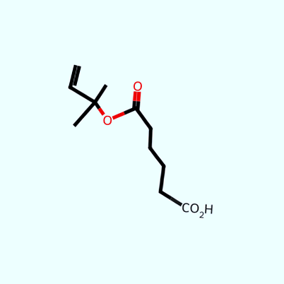 C=CC(C)(C)OC(=O)CCCCC(=O)O